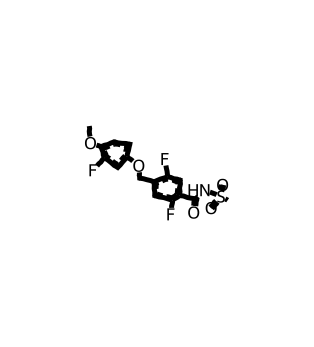 COc1ccc(OCc2cc(F)c(C(=O)NS(C)(=O)=O)cc2F)cc1F